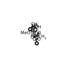 COc1ccc2c3c1O[C@H]1C(OC(=O)C(C)OC(=O)[C@@H](OC(=O)OC(C)(C)C)c4ccccc4)=CC[C@@]4(O)[C@@H](C2)N(C)CC[C@]314